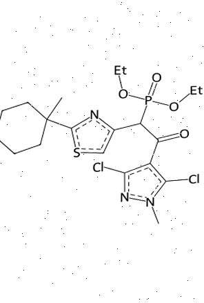 CCOP(=O)(OCC)C(C(=O)c1c(Cl)nn(C)c1Cl)c1csc(C2(C)CCCCC2)n1